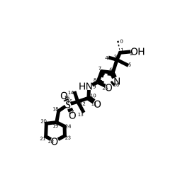 C[C@H](O)C(C)(C)c1cc(NC(=O)C(C)(C)S(=O)(=O)CC2CCOCC2)on1